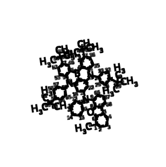 Cc1cccc2c1oc1c(N(c3ccccc3)c3cc4c5c(c3)N(c3ccc(C(C)(C)C)cc3)c3ccc(C(C)(C)C)cc3B5c3cc(C(C)(C)C)ccc3N4c3ccc(C(C)(C)C)cc3)cccc12